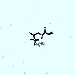 Br.C=CC(=O)NCC(C)C(C)(C)N